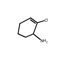 NC1CCCC=C1Cl